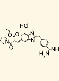 CCOC(=O)C(C=C1C=c2nc(Cc3ccc(C(=N)N)cc3)n(C)c2=CC1)C(=O)N1CCCC1.Cl